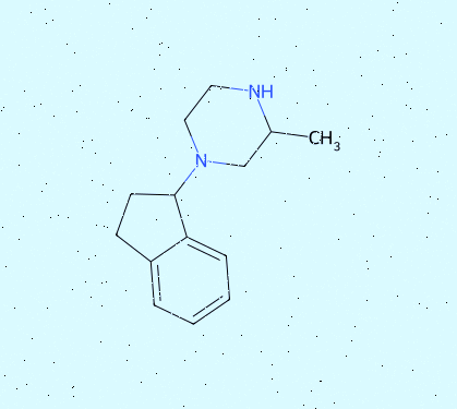 CC1CN(C2CCc3ccccc32)CCN1